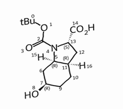 CC(C)(C)OC(=O)N1[C@@H]2C[C@H](O)CC[C@@H]2C[C@H]1C(=O)O